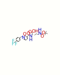 CC(C)(C)OC(=O)NCCC[C@H](NC(=O)c1cccn(Cc2ccc(C(F)(F)F)cc2)c1=O)C(=O)O